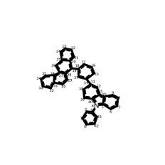 c1ccc(-n2c3ccccc3c3cc(-c4cccc(-c5c6ccccc6cc6c5ccc5ccccc56)c4)ccc32)cc1